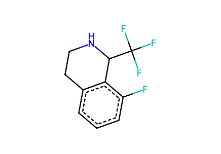 Fc1cccc2c1C(C(F)(F)F)NCC2